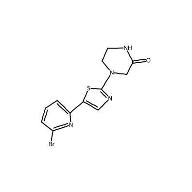 O=C1CN(c2ncc(-c3cccc(Br)n3)s2)CCN1